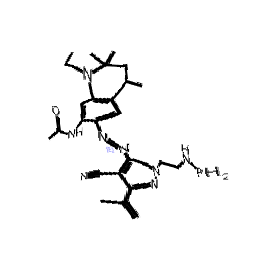 C=C(C)c1nn(CCNP)c(/N=N/c2cc3c(cc2NC(C)=O)N(CC)C(C)(C)CC3C)c1C#N